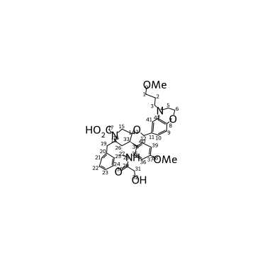 COCCCN1CCOc2ccc(CO[C@H]3CN(C(=O)O)C(Cc4ccccc4)[C@@H](CNC(=O)CO)[C@@H]3c3ccc(OC)cc3)cc21